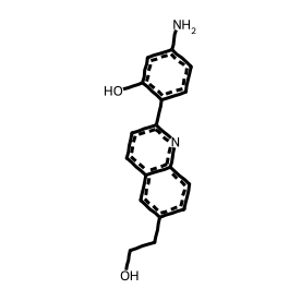 Nc1ccc(-c2ccc3cc(CCO)ccc3n2)c(O)c1